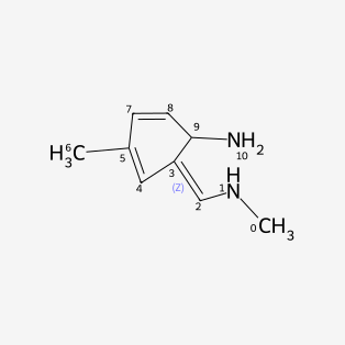 CN/C=C1/C=C(C)C=CC1N